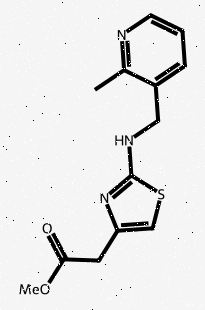 COC(=O)Cc1csc(NCc2cccnc2C)n1